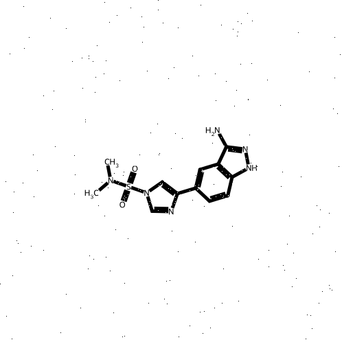 CN(C)S(=O)(=O)n1cnc(-c2ccc3[nH]nc(N)c3c2)c1